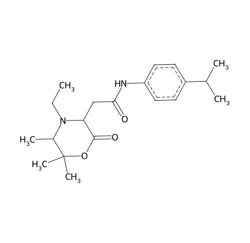 CCN1C(CC(=O)Nc2ccc(C(C)C)cc2)C(=O)OC(C)(C)C1C